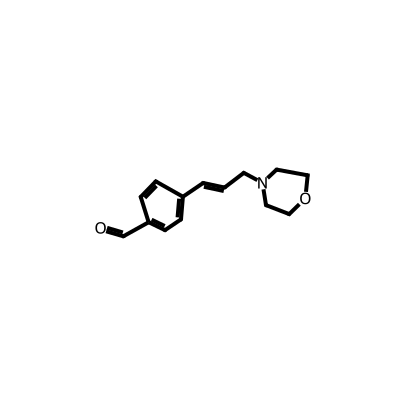 O=Cc1ccc(C=CCN2CCOCC2)cc1